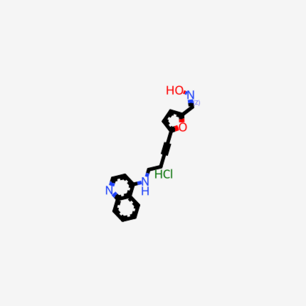 Cl.O/N=C\c1ccc(C#CCCNc2ccnc3ccccc23)o1